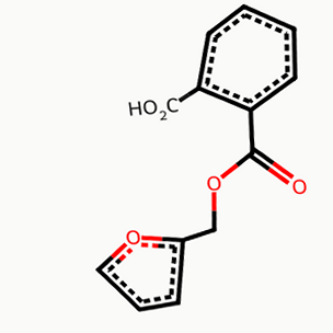 O=C(O)c1ccccc1C(=O)OCc1ccco1